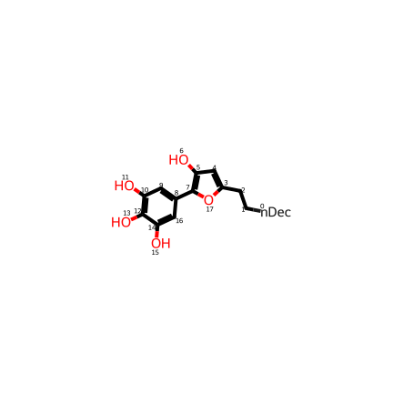 CCCCCCCCCCCCc1cc(O)c(-c2cc(O)c(O)c(O)c2)o1